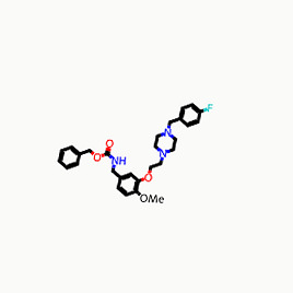 COc1ccc(CNC(=O)OCc2ccccc2)cc1OCCN1CCN(Cc2ccc(F)cc2)CC1